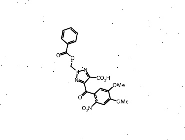 COc1cc(C(=O)c2nn(COC(=O)c3ccccc3)nc2C(=O)O)c([N+](=O)[O-])cc1OC